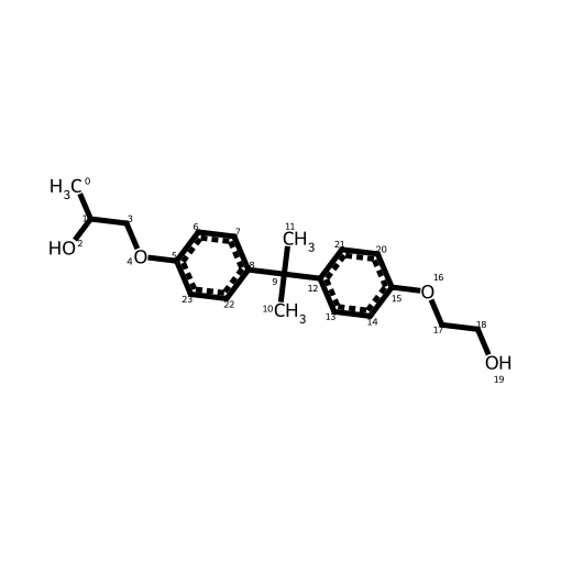 CC(O)COc1ccc(C(C)(C)c2ccc(OCCO)cc2)cc1